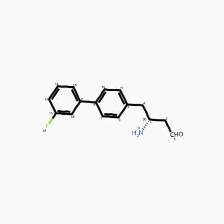 N[C@@H](CC=O)Cc1ccc(-c2cccc(F)c2)cc1